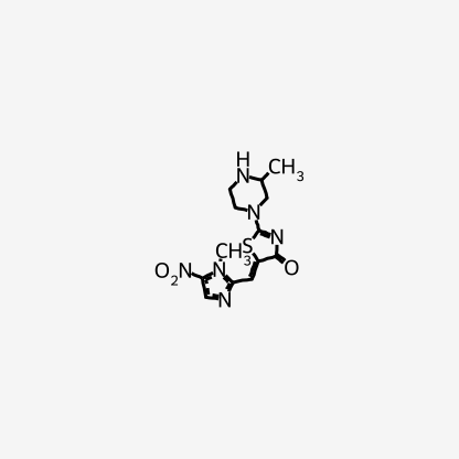 CC1CN(C2=NC(=O)/C(=C/c3ncc([N+](=O)[O-])n3C)S2)CCN1